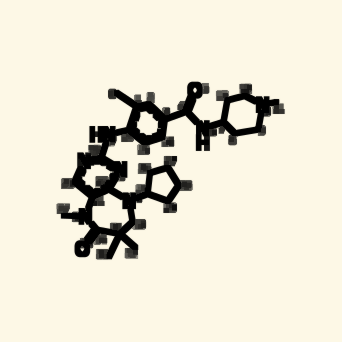 Cc1cc(C(=O)NC2CCN(C)CC2)ccc1Nc1ncc2c(n1)N(C1CCCC1)CC(C)(C)C(=O)N2C